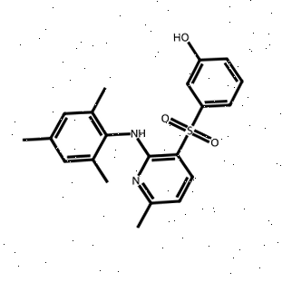 Cc1cc(C)c(Nc2nc(C)ccc2S(=O)(=O)c2cccc(O)c2)c(C)c1